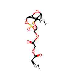 C=CC(=O)OCC(=O)OCCOC1(C)C2CC3C(O2)C1OS3(=O)=O